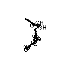 CCCCCCCC(=O)CC[C@@H]1[C@@H](C/C=C\CCCC(=O)Oc2ccc(C(=O)OCCCCO[N+](=O)[O-])cc2OC)[C@@H](O)C[C@H]1O